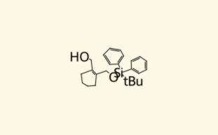 CC(C)(C)[Si](OCC1=C(CO)CCCC1)(c1ccccc1)c1ccccc1